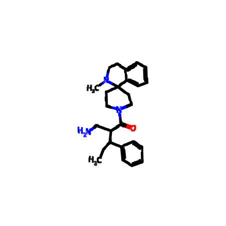 CCC(c1ccccc1)C(CN)C(=O)N1CCC2(CC1)c1ccccc1CCN2C